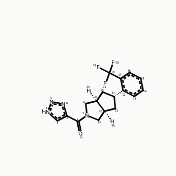 O=C(c1c[nH]nn1)N1C[C@H]2C[C@H](c3ccccc3C(F)(F)F)C[C@H]2C1